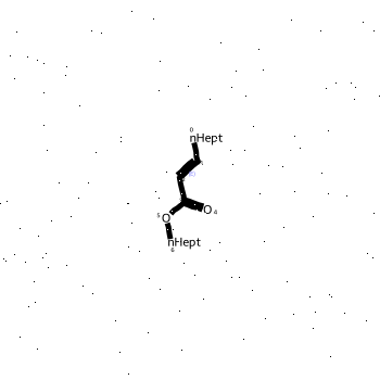 CCCCCCC/C=C/C(=O)OCCCCCCC